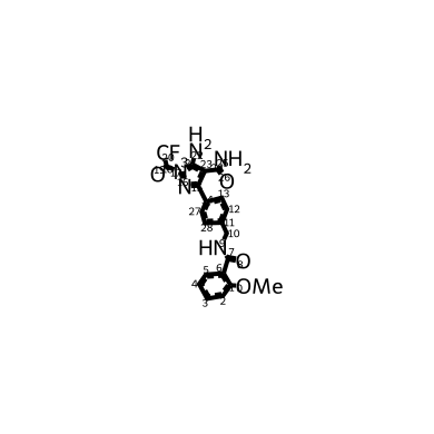 COc1ccccc1C(=O)NCc1ccc(-c2nn(C(=O)C(F)(F)F)c(N)c2C(N)=O)cc1